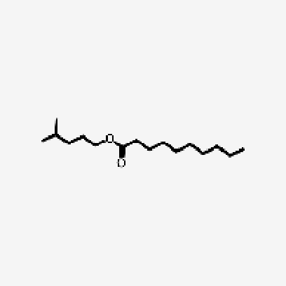 CCCCCCCCCC(=O)OCCCC(C)C